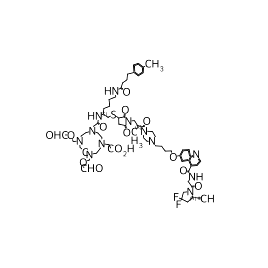 C#C[C@H]1CC(F)(F)CN1C(=O)CNC(=O)c1ccnc2ccc(OCCCCN3CCN(C(=O)[C@H](C)CN4C(=O)CC(SC[C@H](CCCCNC(=O)CCCc5ccc(C)cc5)NC(=O)CN5CCN(COC=O)CCN(COC=O)CCN(CC(=O)O)CC5)C4=O)CC3)cc12